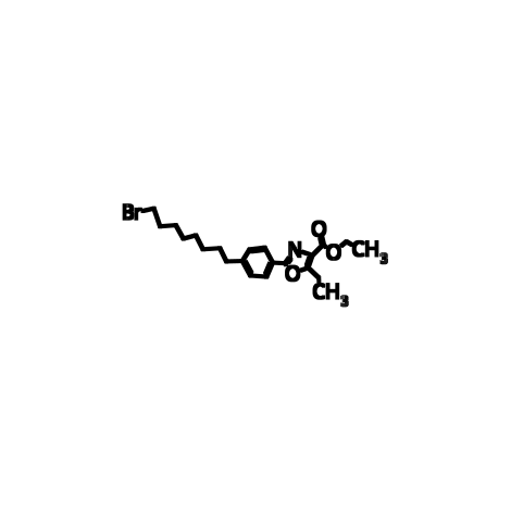 CCOC(=O)c1nc(-c2ccc(CCCCCCCCBr)cc2)oc1CC